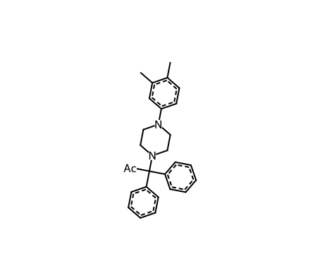 CC(=O)C(c1ccccc1)(c1ccccc1)N1CCN(c2ccc(C)c(C)c2)CC1